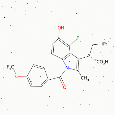 Cc1c([C@H](CC(C)C)C(=O)O)c2c(F)c(O)ccc2n1C(=O)c1ccc(OC(F)(F)F)cc1